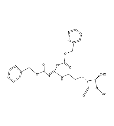 CC(=O)N1C(=O)[C@H](CCCNC(=NC(=O)OCc2ccccc2)NC(=O)OCc2ccccc2)[C@H]1C=O